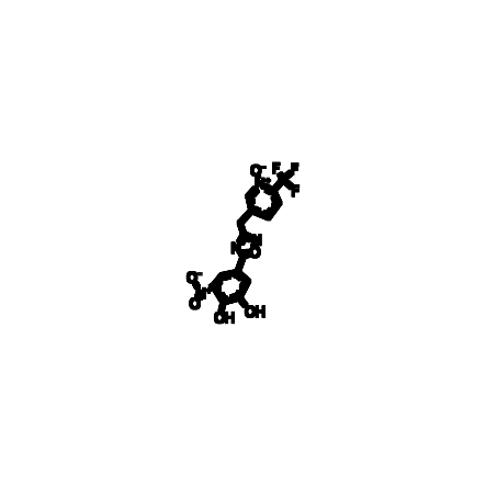 O=[N+]([O-])c1cc(-c2nc(Cc3ccc(C(F)(F)F)[n+]([O-])c3)no2)cc(O)c1O